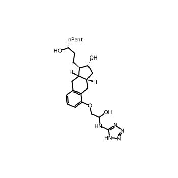 CCCCC[C@@H](O)CC[C@@H]1[C@H]2Cc3cccc(OCC(O)Nc4nnn[nH]4)c3C[C@H]2C[C@H]1O